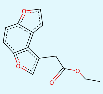 CCOC(=O)Cc1coc2ccc3occc3c12